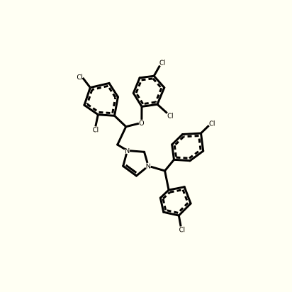 Clc1ccc(C(c2ccc(Cl)cc2)N2C=CN(CC(Oc3ccc(Cl)cc3Cl)c3ccc(Cl)cc3Cl)C2)cc1